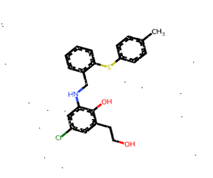 Cc1ccc(Sc2ccccc2CNc2cc(Cl)cc(CCO)c2O)cc1